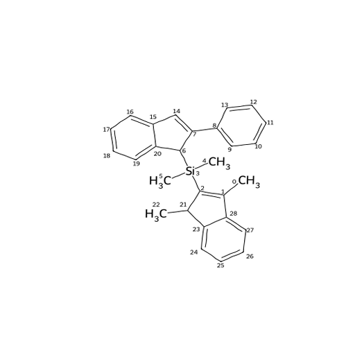 CC1=C([Si](C)(C)C2C(c3ccccc3)=Cc3ccccc32)C(C)c2ccccc21